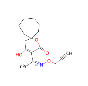 C#CCO/N=C(/CCC)C1=C(O)CC2(CCCCCC2)OC1=O